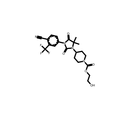 CC1(C)C(=O)N(c2ccc(C#N)c(C(F)(F)F)c2)C(=O)N1C1CCN(C(=O)OCCO)CC1